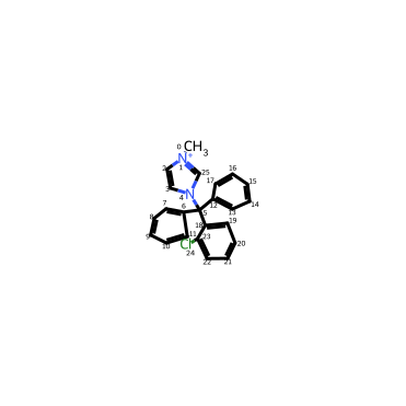 C[n+]1ccn(C(c2ccccc2)(c2ccccc2)c2ccccc2Cl)c1